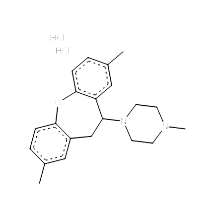 Cc1ccc2c(c1)CC(N1CCN(C)CC1)c1cc(C)ccc1O2.Cl.Cl